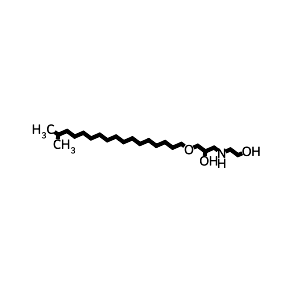 CC(C)CCCCCCCCCCCCCCCOCC(O)CNCCO